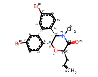 C=CC[C@H]1O[C@H](c2ccc(Br)cc2)[C@H](c2ccc(Br)cc2)N(C)C1=O